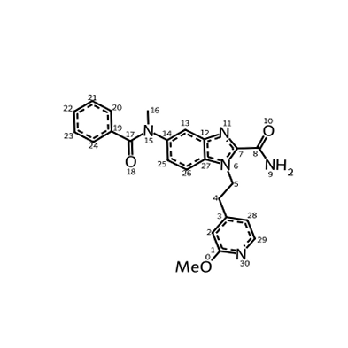 COc1cc(CCn2c(C(N)=O)nc3cc(N(C)C(=O)c4ccccc4)ccc32)ccn1